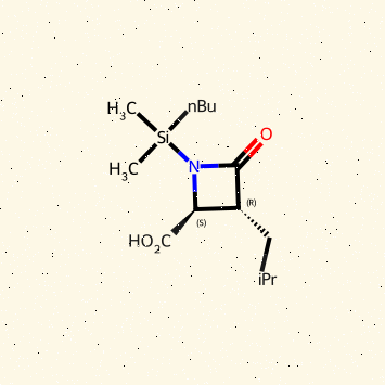 CCCC[Si](C)(C)N1C(=O)[C@H](CC(C)C)[C@H]1C(=O)O